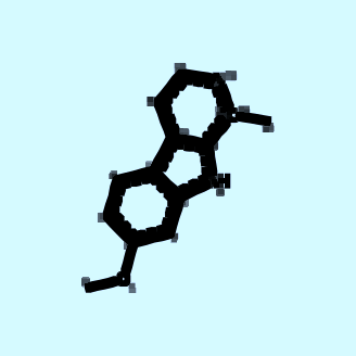 COc1ccc2c(c1)[nH]c1c2ccn[11c]1C